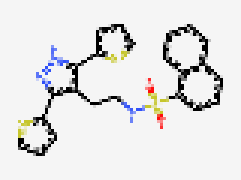 O=S(=O)(NCCc1c(-c2cccs2)n[nH]c1-c1cccs1)c1cccc2ccccc12